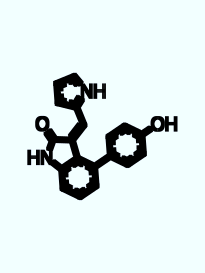 O=C1Nc2cccc(-c3ccc(O)cc3)c2C1=Cc1ccc[nH]1